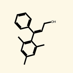 Cc1cc(C)c(C(=CCO)c2ccccc2)c(C)c1